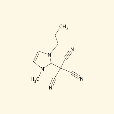 CCCN1C=CN(C)C1C(C#N)(C#N)C#N